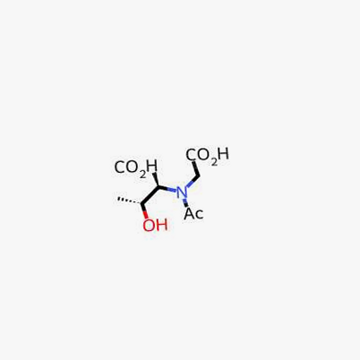 CC(=O)N(CC(=O)O)[C@H](C(=O)O)[C@@H](C)O